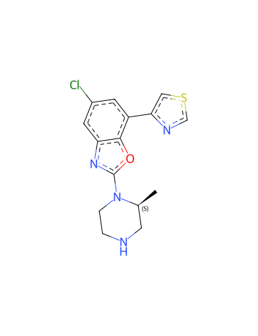 C[C@H]1CNCCN1c1nc2cc(Cl)cc(-c3cscn3)c2o1